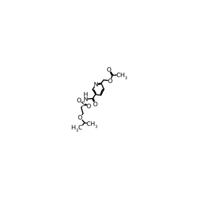 CC(=O)OCc1ccc(C(=O)NS(=O)(=O)CCOC(C)C)cn1